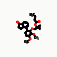 CCCC(=O)OC1(COc2c(-c3cccc4c3CCC4=O)ccc(OC)c2OC)CC1